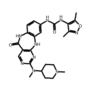 Cc1noc(C)c1NC(=O)Nc1ccc2c(c1)Nc1nc(N(C)C3CCN(C)CC3)ncc1C(=O)N2